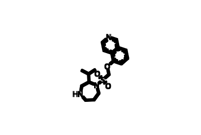 CC(C)C1CNCCCN1S(=O)(=O)COc1cccc2cnccc12